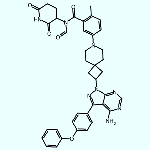 Cc1ccc(N2CCC3(CC2)CC(n2nc(-c4ccc(Oc5ccccc5)cc4)c4c(N)ncnc42)C3)cc1C(=O)N(C=O)C1CCC(=O)NC1=O